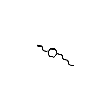 C=CCN1C=CC(CCCCC)CC1